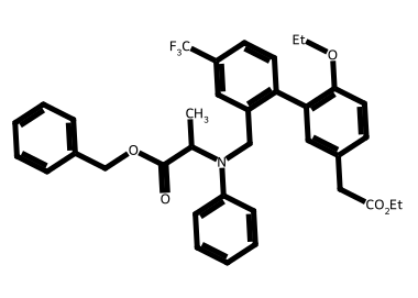 CCOC(=O)Cc1ccc(OCC)c(-c2ccc(C(F)(F)F)cc2CN(c2ccccc2)C(C)C(=O)OCc2ccccc2)c1